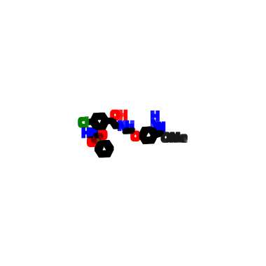 COc1n[nH]c2cc(OCCNCC(O)c3ccc(Cl)c(NS(=O)(=O)c4ccccc4)c3)ccc12